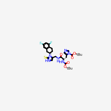 CC(C)(C)OC(=O)N[C@@H](Cc1cncn1C(=O)OC(C)(C)C)C(=O)NCc1c[nH]c(=S)n1[C@@H]1CCc2c(F)cc(F)cc2C1